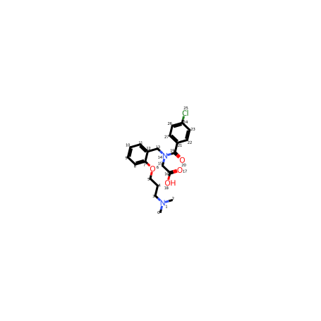 CN(C)CCCOc1ccccc1CN(CC(=O)O)C(=O)c1ccc(Cl)cc1